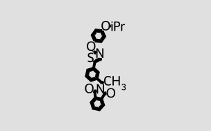 CC(C)Oc1ccc(Oc2ncc(-c3cccc(C(C)N4C(=O)c5ccccc5C4=O)c3)s2)cc1